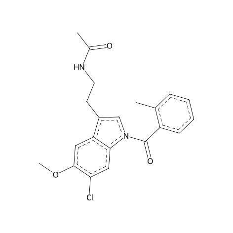 COc1cc2c(CCNC(C)=O)cn(C(=O)c3ccccc3C)c2cc1Cl